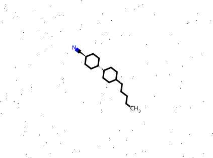 CCCCCC1CCC([C@H]2CC[C@H](C#N)CC2)CC1